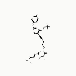 C[C@@H](C(=O)NCCCC#Cc1cnc(Nc2ccc(F)nc2)nc1NCC(F)(F)F)N(C)C(=O)/C=C/CN(C)C